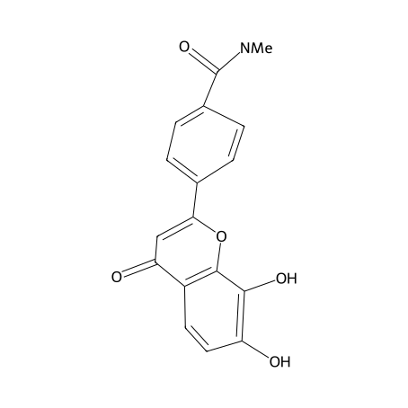 CNC(=O)c1ccc(-c2cc(=O)c3ccc(O)c(O)c3o2)cc1